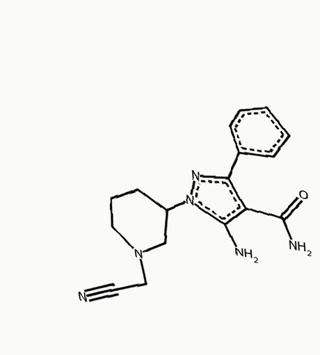 N#CCN1CCCC(n2nc(-c3ccccc3)c(C(N)=O)c2N)C1